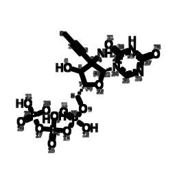 CC#CC1(N)C(O)[C@@H](COP(=O)(O)OP(=O)(O)OP(=O)(O)O)O[C@H]1n1cnc(=O)[nH]c1=O